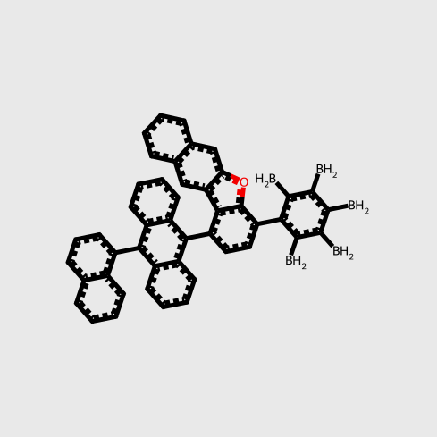 Bc1c(B)c(B)c(-c2ccc(-c3c4ccccc4c(-c4cccc5ccccc45)c4ccccc34)c3c2oc2cc4ccccc4cc23)c(B)c1B